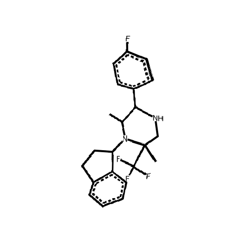 CC1C(c2ccc(F)cc2)NCC(C)(C(F)(F)F)N1C1CCc2ccccc21